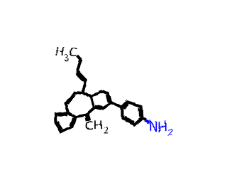 C=C1C2=CC(c3ccc(N)cc3)=CCC2C(C=CCC)/C=C\c2ccccc21